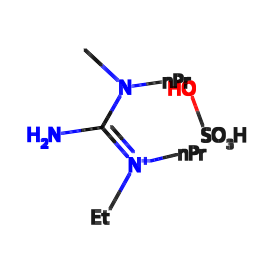 CCCN(C)C(N)=[N+](CC)CCC.O=S(=O)(O)O